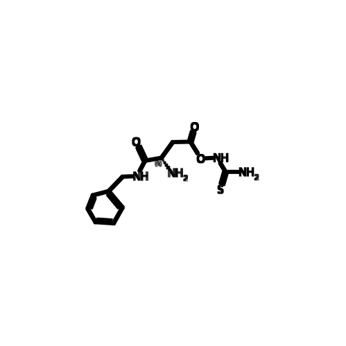 NC(=S)NOC(=O)C[C@H](N)C(=O)NCc1ccccc1